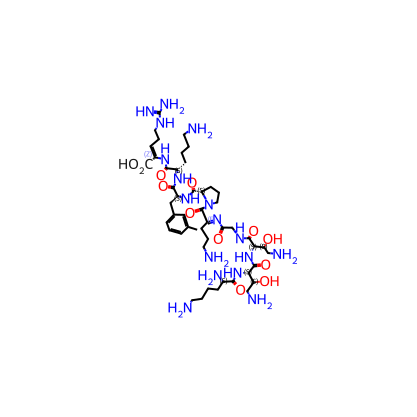 Cc1cccc(C[C@H](NC(=O)[C@@H]2CCCN2C(=O)/C(CCCN)=N/C(=O)CNC(=O)[C@@H](NC(=O)[C@@H](NC(=O)[C@@H](N)CCCCN)[C@@H](O)CN)[C@@H](O)CN)C(=O)N[C@@H](CCCCN)C(=O)N/C(=C\CCNC(=N)N)C(=O)O)c1